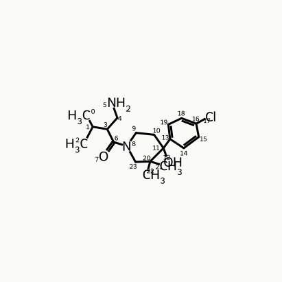 CC(C)C(CN)C(=O)N1CCC(O)(c2ccc(Cl)cc2)C(C)(C)C1